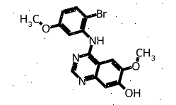 COc1ccc(Br)c(Nc2ncnc3cc(O)c(OC)cc23)c1